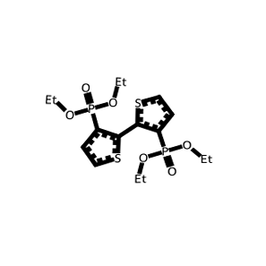 CCOP(=O)(OCC)c1ccsc1-c1sccc1P(=O)(OCC)OCC